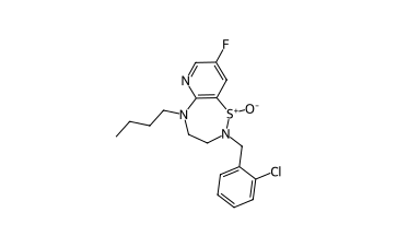 CCCCN1CCN(Cc2ccccc2Cl)[S+]([O-])c2cc(F)cnc21